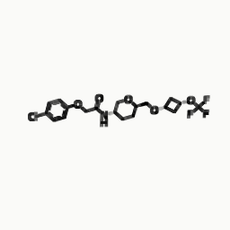 O=C(COc1ccc(Cl)cc1)N[C@H]1CC[C@H](CO[C@H]2C[C@@H](OC(F)(F)F)C2)OC1